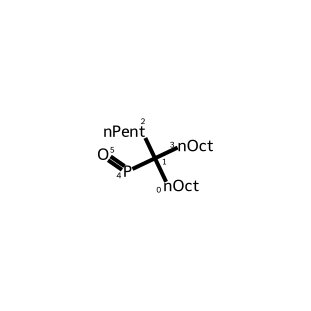 CCCCCCCCC(CCCCC)(CCCCCCCC)P=O